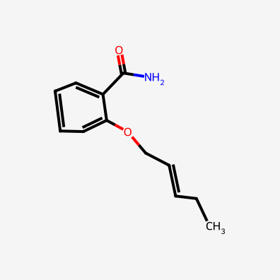 CCC=CCOc1ccccc1C(N)=O